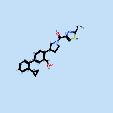 CC1NC(C(=O)N2CCC(c3ccc(-c4ccccc4C4CC4)cc3CO)C2)=CS1